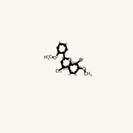 COc1ccccc1-c1cc(Cl)c2ccc(OC)c(Br)c2n1